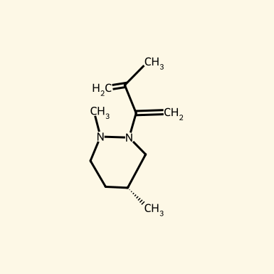 C=C(C)C(=C)N1C[C@H](C)CCN1C